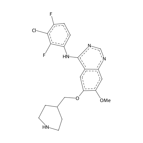 COc1cc2ncnc(Nc3ccc(F)c(Cl)c3F)c2cc1OCC1CCNCC1